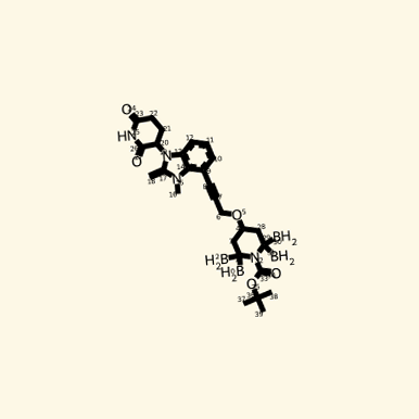 BC1(B)CC(OCC#Cc2cccc3c2N(C)C(=C)N3C2CCC(=O)NC2=O)CC(B)(B)N1C(=O)OC(C)(C)C